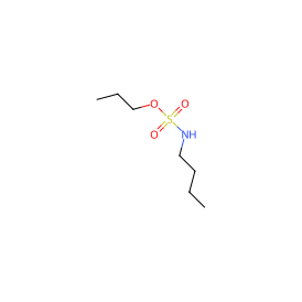 CCCCNS(=O)(=O)OCCC